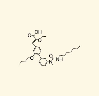 CCCCCCCNC(=O)N(C)c1cccc(-c2ccc(C=C(OCC)C(=O)O)cc2OCCCC)c1